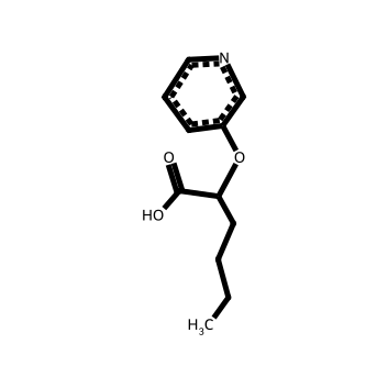 CCCCC(Oc1cccnc1)C(=O)O